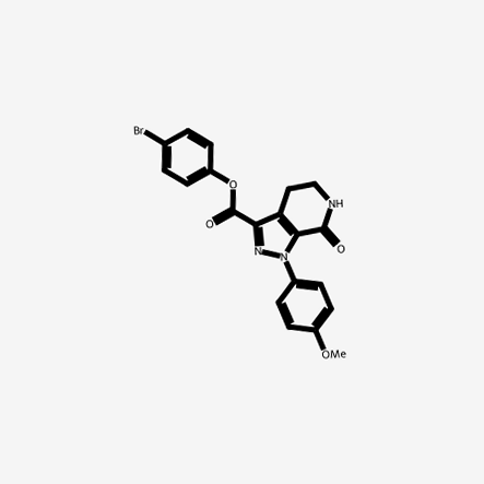 COc1ccc(-n2nc(C(=O)Oc3ccc(Br)cc3)c3c2C(=O)NCC3)cc1